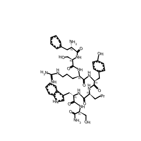 CC(C)C[C@H](NC(=O)[C@H](Cc1ccc(O)cc1)NC(=O)[C@@H](CCCNC(=N)N)NC(=O)[C@@H](CO)NC(=O)[C@@H](N)Cc1ccccc1)C(=O)N[C@@H](Cc1c[nH]c2ccccc12)C(=O)N[C@@H](CO)C(N)=O